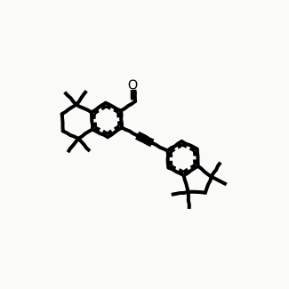 CC1(C)CCC(C)(C)c2cc(C=O)c(C#Cc3ccc4c(c3)C(C)(C)CC4(C)C)cc21